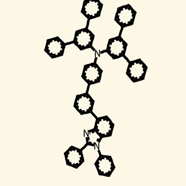 c1ccc(-c2cc(-c3ccccc3)cc(N(c3ccc(-c4cccc(-c5cccc6c5nc(-c5ccccc5)n6-c5ccccc5)c4)cc3)c3cc(-c4ccccc4)cc(-c4ccccc4)c3)c2)cc1